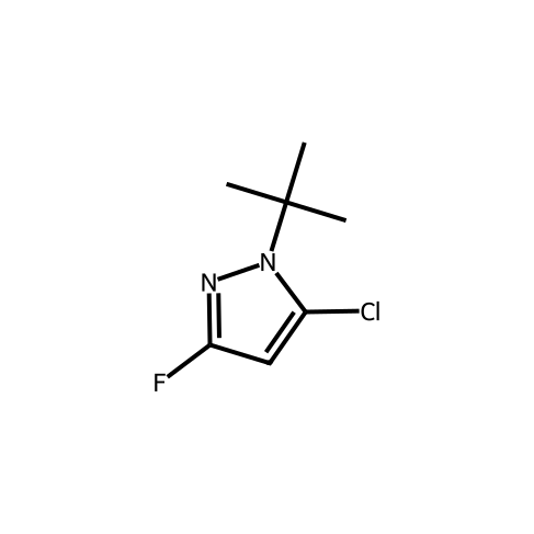 CC(C)(C)n1nc(F)cc1Cl